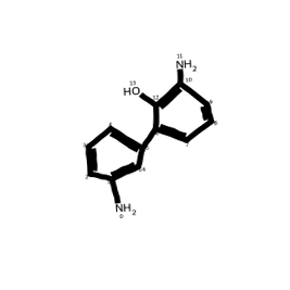 Nc1cccc(-c2cccc(N)c2O)c1